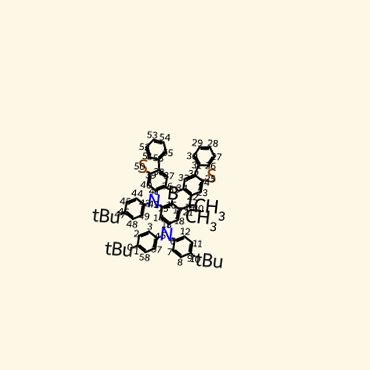 CC(C)(C)c1ccc(N(c2ccc(C(C)(C)C)cc2)c2cc3c4c(c2)C(C)(C)c2cc5sc6ccccc6c5cc2B4c2cc4c(cc2N3c2ccc(C(C)(C)C)cc2)sc2ccccc24)cc1